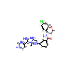 CN1C(CNc2cccc(C(=O)N[C@H]3CCOc4cc(Cl)ccc43)c2)NNC1C1=NCNCC1